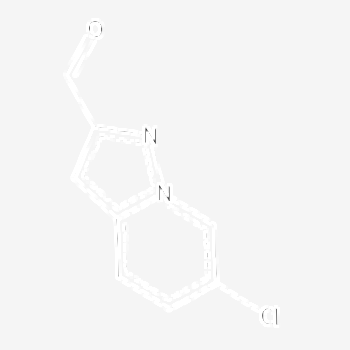 O=Cc1cc2ccc(Cl)cn2n1